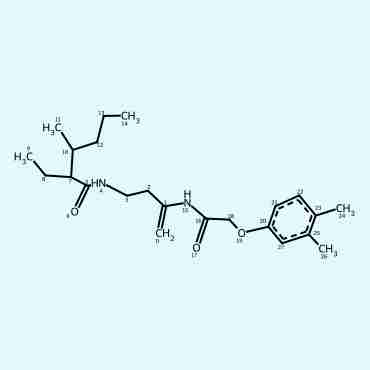 C=C(CCNC(=O)C(CC)C(C)CCC)NC(=O)COc1ccc(C)c(C)c1